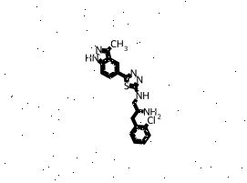 Cc1n[nH]c2ccc(-c3nnc(NCC(N)Cc4ccccc4Cl)s3)cc12